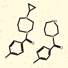 O=C(c1ccc(I)cc1)N1CCCN(C2CC2)CC1.O=C(c1ccc(I)cc1)N1CCCNCC1